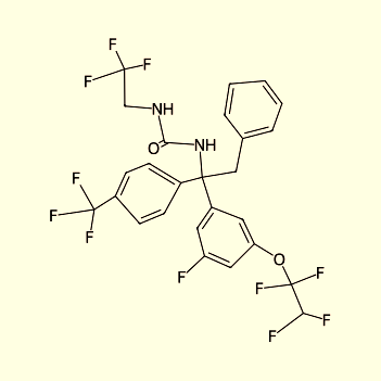 O=C(NCC(F)(F)F)NC(Cc1ccccc1)(c1ccc(C(F)(F)F)cc1)c1cc(F)cc(OC(F)(F)C(F)F)c1